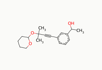 CC(O)c1cccc(C#CC(C)(C)OC2CCCCO2)c1